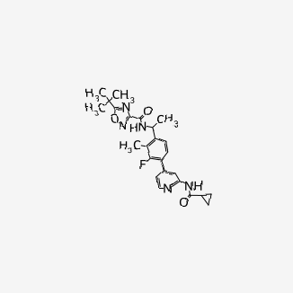 Cc1c(C(C)NC(=O)c2noc(C(C)(C)C)n2)ccc(-c2ccnc(NC(=O)C3CC3)c2)c1F